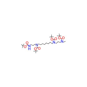 CCN(CCCN(CCCCCCCCN(CCCNC(=O)OC(C)(C)C)C(=O)OC(C)(C)C)C(=O)OC(C)(C)C)C(=O)OC(C)(C)C